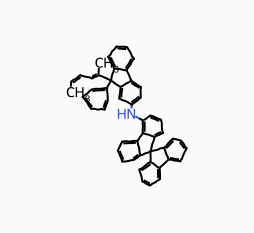 C/C=C\C=C(/C)C1(c2ccccc2)c2ccccc2-c2ccc(Nc3cccc4c3-c3ccccc3C43c4ccccc4-c4ccccc43)cc21